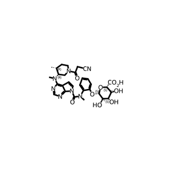 C[C@@H]1CCN(C(=O)CC#N)C[C@@H]1N(C)c1ncnc2c1ccn2C(=O)N(C)c1ccccc1O[C@@H]1O[C@H](C(=O)O)[C@@H](O)[C@H](O)[C@H]1O